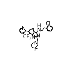 CC1(C)CCCN(Cc2nc(NCCc3ccccc3Cl)c3ccc(-c4ncccc4C(F)(F)F)cc3n2)C1